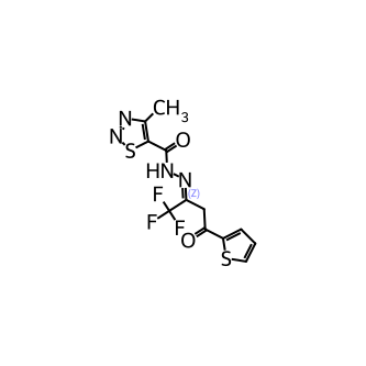 Cc1nnsc1C(=O)N/N=C(/CC(=O)c1cccs1)C(F)(F)F